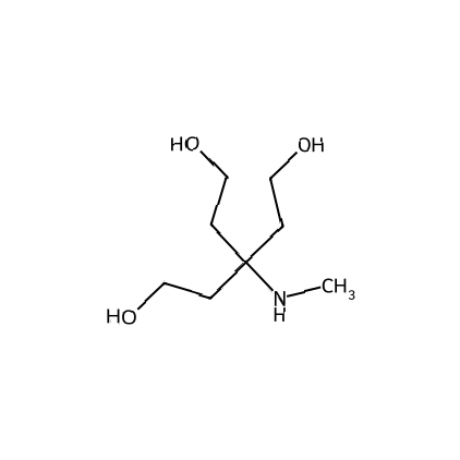 CNC(CCO)(CCO)CCO